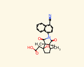 CC12CCC(CC(=O)O)(O1)[C@]1(C)C(=O)N(c3ccc(C#N)c4ccccc34)C(=O)[C@H]21